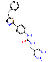 N=C/C(=C\N)CNC(=O)Nc1ccc(-c2ncc(Cc3ccccc3)s2)cc1